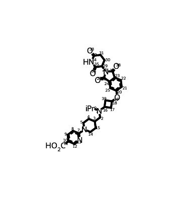 CC(C)N(CC1CCN(c2ccc(C(=O)O)cn2)CC1)C1CC(Oc2ccc3c(c2)C(=O)N(C2CCC(=O)NC2=O)C3=O)C1